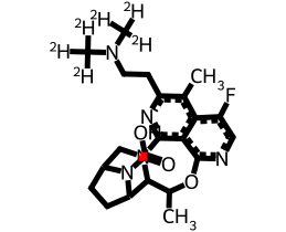 [2H]C([2H])([2H])N(CCc1nc2c3c(ncc(F)c3c1C)OC(C)C1C3CCC(CN21)N3C(=O)O)C([2H])([2H])[2H]